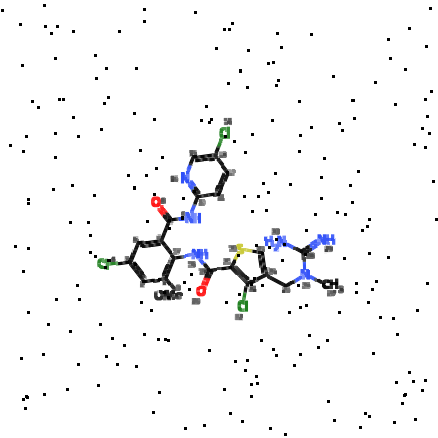 COc1cc(Cl)cc(C(=O)Nc2ccc(Cl)cn2)c1NC(=O)c1scc(CN(C)C(=N)N)c1Cl